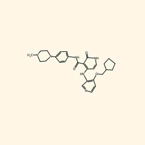 CN1CCN(c2ccc(NC(=O)c3c(Nc4cnccc4OCC4CCCC4)cc[nH]c3=O)cc2)CC1